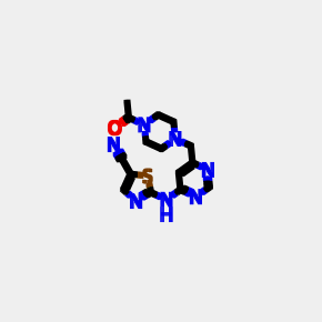 CC(=O)N1CCN(Cc2cc(Nc3ncc(C#N)s3)ncn2)CC1